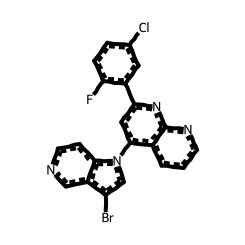 Fc1ccc(Cl)cc1-c1cc(-n2cc(Br)c3cnccc32)c2cccnc2n1